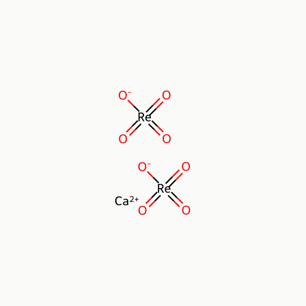 [Ca+2].[O]=[Re](=[O])(=[O])[O-].[O]=[Re](=[O])(=[O])[O-]